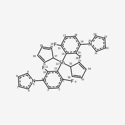 Fc1ccc(-n2cccc2)c(F)[c]1[Sn]([c]1c(F)ccc(-n2cccc2)c1F)([CH]1C=CC=C1)[CH]1C=CC=C1